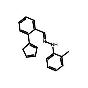 Cc1ccccc1N/N=C/c1ccccc1C1=CC=CC1